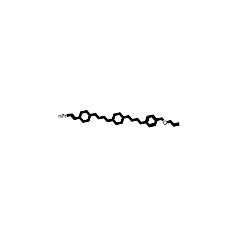 C=CCOCc1ccc(CCCCC2CCC(CCCCC3CCC(C=CCCC)CC3)CC2)cc1